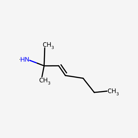 CCCC=CC(C)(C)[NH]